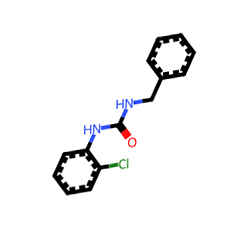 O=C(NCc1ccccc1)Nc1ccccc1Cl